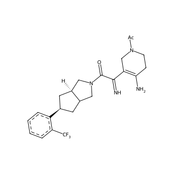 CC(=O)N1CCC(N)=C(C(=N)C(=O)N2CC3C[C@@H](c4ccccc4C(F)(F)F)C[C@H]3C2)C1